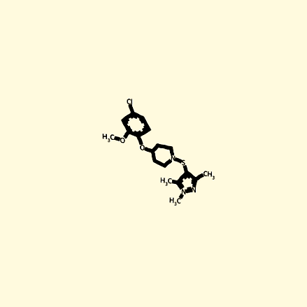 COc1cc(Cl)ccc1OC1CCN(Sc2c(C)nn(C)c2C)CC1